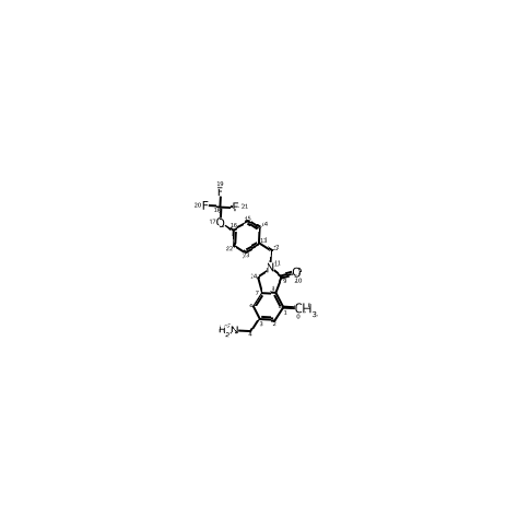 Cc1cc(CN)cc2c1C(=O)N(Cc1ccc(OC(F)(F)F)cc1)C2